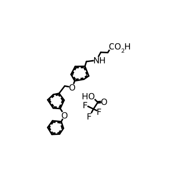 O=C(O)C(F)(F)F.O=C(O)CCNCc1ccc(OCc2cccc(Oc3ccccc3)c2)cc1